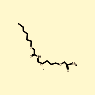 CCCCCCOCC(=O)NC[C@@H](C)CCCOCC(=O)NC